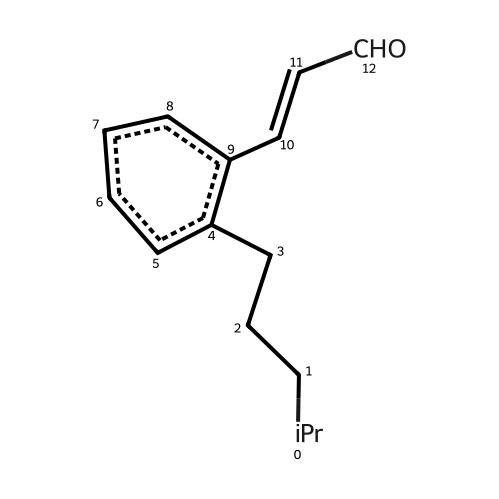 CC(C)CCCc1ccccc1/C=C/C=O